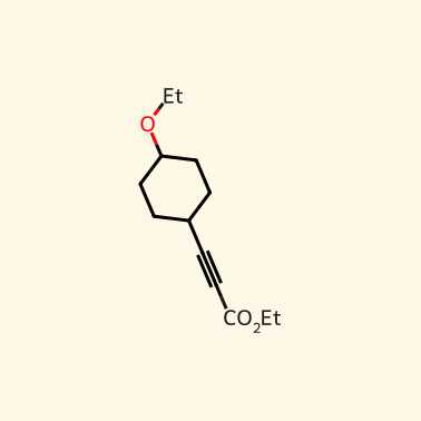 CCOC(=O)C#CC1CCC(OCC)CC1